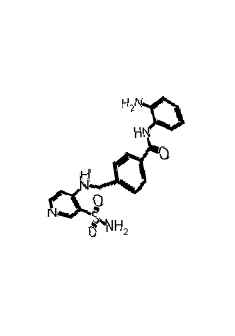 Nc1ccccc1NC(=O)c1ccc(CNc2ccncc2S(N)(=O)=O)cc1